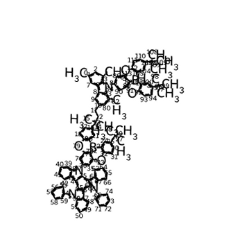 Cc1cc(C)c2c(c1)c1cc(CCC(C)(C)c3ccc4c(c3)B3c5cc(C(C)(C)C)ccc5Oc5cc(-n6c7ccccc7c7c8c(c9ccccc9n8-c8ccccc8)c8c(c9ccccc9n8-c8ccccc8)c76)cc(c53)O4)cc(C)c1n2-c1cc2c3c(c1)Oc1ccc(C(C)(C)C)cc1B3c1cc(C(C)(C)C)ccc1O2